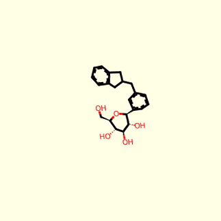 OC[C@H]1O[C@@H](c2cccc(CC3Cc4ccccc4C3)c2)[C@H](O)[C@@H](O)[C@@H]1O